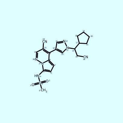 CS(=O)(=O)Nc1ccc2c(-c3cnn(C(CC#N)C4CCCC4)c3)c(C#N)cnn12